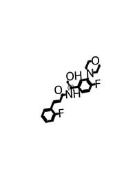 O=C(C=Cc1ccccc1F)N[C@@H](CO)c1ccc(F)c(N2CCOCC2)c1